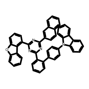 c1ccc(-c2nc(-c3ccc4ccccc4c3)nc(-c3cccc4oc5ccccc5c34)n2)c(-c2ccc(-n3c4ccccc4c4ccccc43)cc2)c1